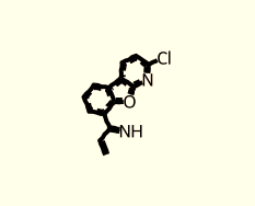 C=CC(=N)c1cccc2c1oc1nc(Cl)ccc12